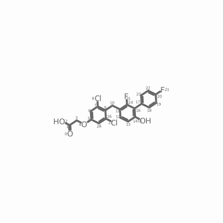 O=C(O)COc1cc(Cl)c(Cc2ccc(O)c(-c3ccc(F)cc3)c2F)c(Cl)c1